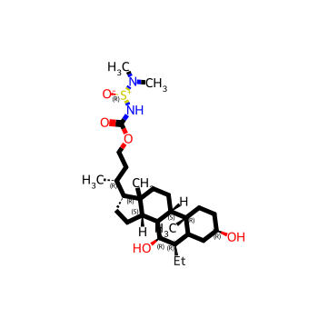 CC[C@@H]1C2C[C@H](O)CC[C@@]2(C)[C@H]2CCC3(C)[C@@H]([C@H](C)CCOC(=O)N[S@+]([O-])N(C)C)CC[C@H]3C2[C@@H]1O